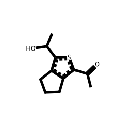 CC(=O)c1sc(C(C)O)c2c1CCC2